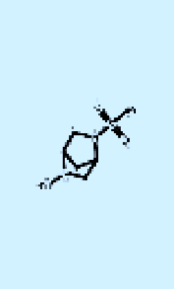 CC(C)S(=O)(=O)N1CC2CC1CN2C(C)(C)C